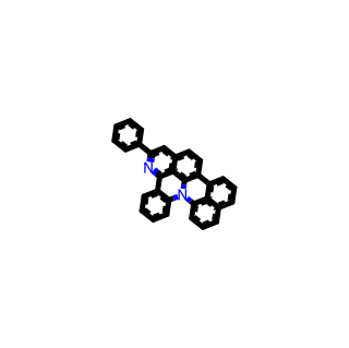 c1ccc(-c2cc3ccc4c5c3c(n2)-c2ccccc2N5c2cccc3cccc-4c23)cc1